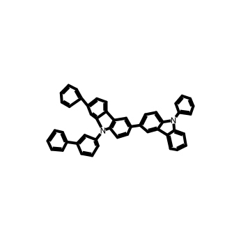 c1ccc(-c2cccc(-n3c4ccc(-c5ccc6c(c5)c5ccccc5n6-c5ccccc5)cc4c4ccc(-c5ccccc5)cc43)c2)cc1